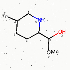 COC(O)C1CCC(C(C)C)CN1